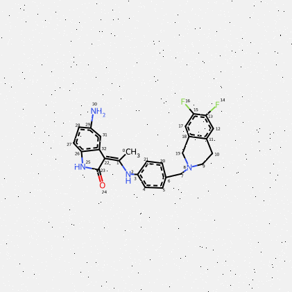 CC(Nc1ccc(CN2CCc3cc(F)c(F)cc3C2)cc1)=C1C(=O)Nc2ccc(N)cc21